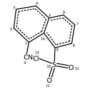 N#Cc1cccc2cccc(S(=O)(=O)Cl)c12